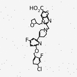 O=C(O)c1cc2c(nc(CN3CC=C(c4cc(F)cc(OCC5=CCC(Cl)C=C5F)n4)CC3)n2CC2CCO2)s1